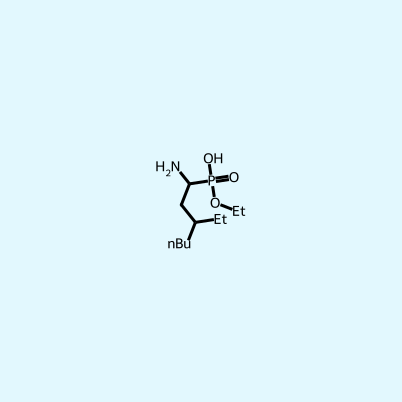 CCCCC(CC)CC(N)P(=O)(O)OCC